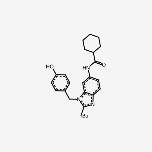 CCCCc1nc2ccc(NC(=O)C3CCCCC3)cc2n1Cc1ccc(O)cc1